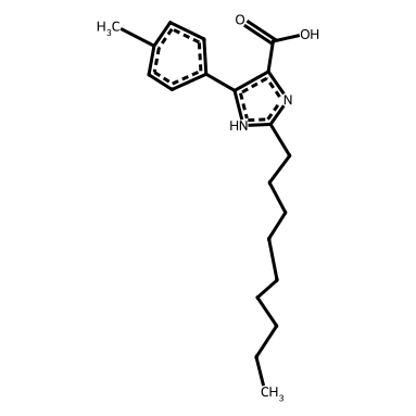 CCCCCCCCCc1nc(C(=O)O)c(-c2ccc(C)cc2)[nH]1